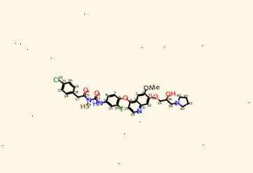 COc1cc2c(Oc3ccc(NC(=O)N(S)C(=O)Cc4ccc(Cl)cc4)cc3F)ccnc2cc1OCC(O)CN1CCCC1